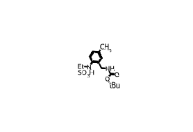 CCN(c1ccc(C)cc1CNC(=O)OC(C)(C)C)S(=O)(=O)O